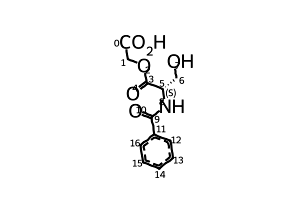 O=C(O)COC(=O)[C@H](CO)NC(=O)c1ccccc1